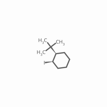 CC(C)(C)[C@H]1CCCC[C@H]1I